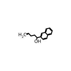 C=CCCC(O)c1ccc2ccccc2c1